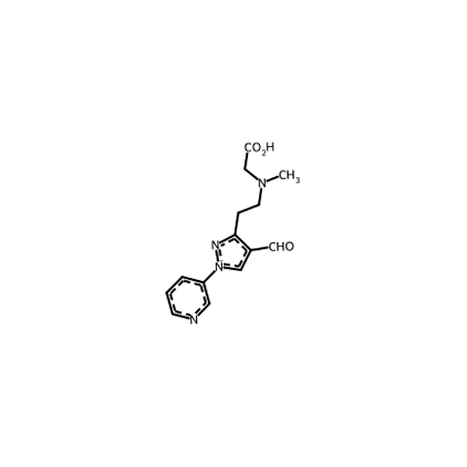 CN(CCc1nn(-c2cccnc2)cc1C=O)CC(=O)O